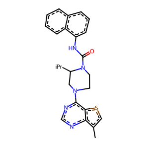 Cc1csc2c(N3CCN(C(=O)Nc4cccc5ccccc45)C(C(C)C)C3)ncnc12